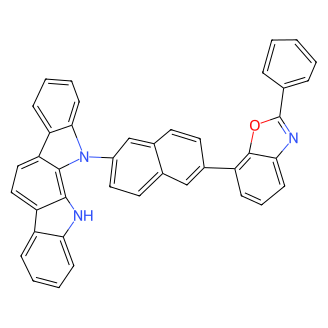 c1ccc(-c2nc3cccc(-c4ccc5cc(-n6c7ccccc7c7ccc8c9ccccc9[nH]c8c76)ccc5c4)c3o2)cc1